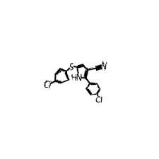 N#Cc1cc(Sc2ccc(Cl)cc2)[nH]c1-c1ccc(Cl)cc1